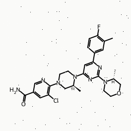 Cc1cc(-c2cc(N3CCN(c4ncc(C(N)=O)cc4Cl)C[C@@H]3C)nc(N3CCOC[C@H]3C)n2)ccc1F